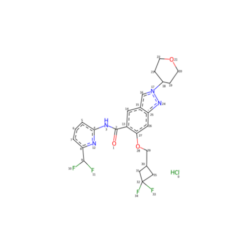 Cl.O=C(Nc1cccc(C(F)F)n1)c1cc2cn(C3CCOCC3)nc2cc1OCC1CC(F)(F)C1